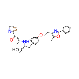 C/C(=C\C(=O)c1nccs1)N[C@@H](Cc1ccc(OCCc2nc(-c3ccccc3)oc2C)cc1)C(=O)O